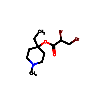 CCC1(OC(=O)C(Br)CBr)CCN(C)CC1